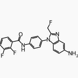 Nc1ccc2c(c1)nc(CF)n2-c1ccc(NC(=O)c2cccc(F)c2F)cc1